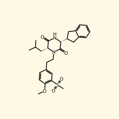 COc1ccc(CCN2C(=O)[C@@H](C3Cc4ccccc4C3)NC(=O)[C@H]2CC(C)C)cc1S(C)(=O)=O